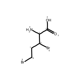 NC(C(=O)O)C(Br)CCBr